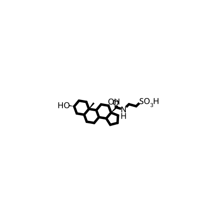 C[C@]12CC[C@@H](O)CC1CCC1C2C[C@H](O)[C@]2(C(=O)NCCS(=O)(=O)O)CCCC12